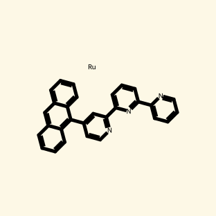 [Ru].c1ccc(-c2cccc(-c3cc(-c4c5ccccc5cc5ccccc45)ccn3)n2)nc1